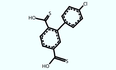 OC(=S)c1ccc(C(O)=S)c(-c2ccc(Cl)cc2)c1